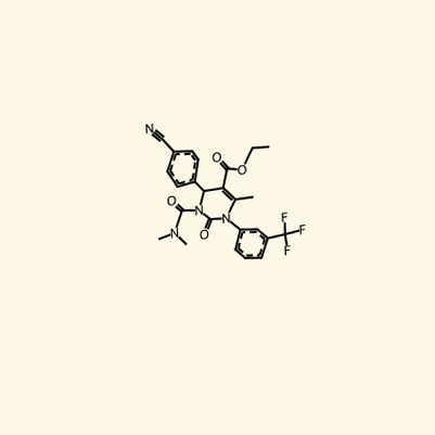 CCOC(=O)C1=C(C)N(c2cccc(C(F)(F)F)c2)C(=O)N(C(=O)N(C)C)C1c1ccc(C#N)cc1